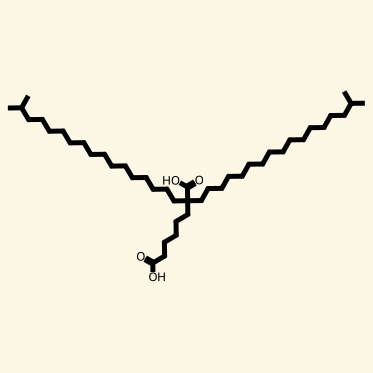 CC(C)CCCCCCCCCCCCCCCC(CCCCCCCCCCCCCCCC(C)C)(CCCCCC(=O)O)C(=O)O